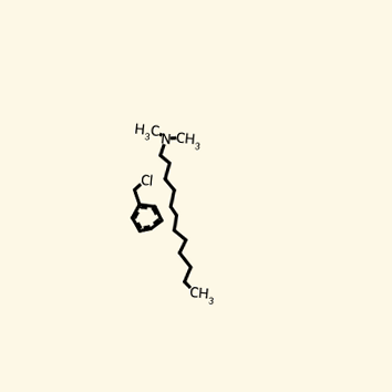 CCCCCCCCCCCCN(C)C.ClCc1ccccc1